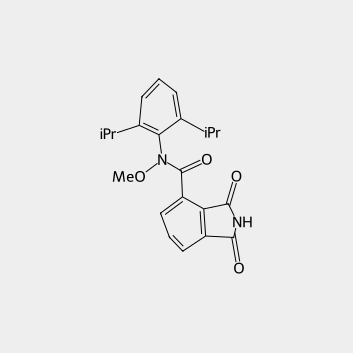 CON(C(=O)c1cccc2c1C(=O)NC2=O)c1c(C(C)C)cccc1C(C)C